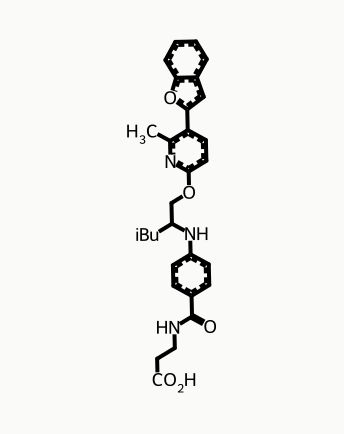 CCC(C)C(COc1ccc(-c2cc3ccccc3o2)c(C)n1)Nc1ccc(C(=O)NCCC(=O)O)cc1